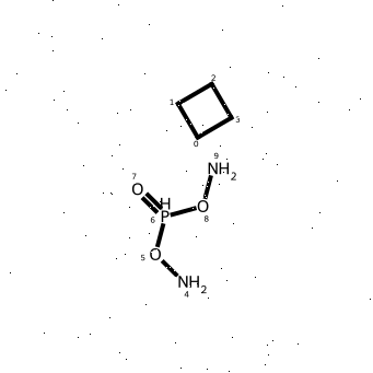 C1CCC1.NO[PH](=O)ON